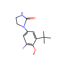 COc1c(I)cc(N2CCNC2=O)cc1C(C)(C)C